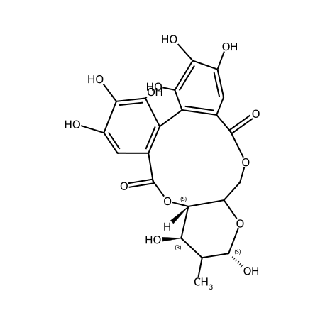 CC1[C@@H](O)[C@@H]2OC(=O)c3cc(O)c(O)c(O)c3-c3c(cc(O)c(O)c3O)C(=O)OCC2O[C@@H]1O